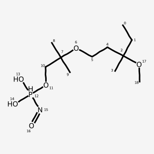 CCC(C)(CCOC(C)(C)CO[PH](O)(O)N=O)OC